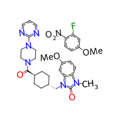 COc1ccc([N+](=O)[O-])c(F)c1.COc1ccc2c(c1)n(C[C@H]1CC[C@H](C(=O)N3CCN(c4ncccn4)CC3)CC1)c(=O)n2C